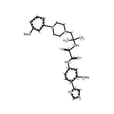 COc1cccc(N2CCN(CC(C)(C)NC(=O)C(=O)Nc3ccc(-c4cnco4)c(OC)c3)CC2)c1